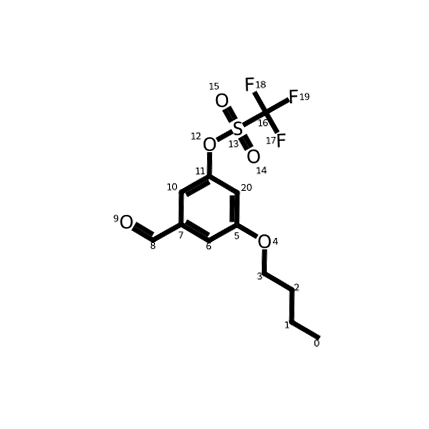 CCCCOc1cc(C=O)cc(OS(=O)(=O)C(F)(F)F)c1